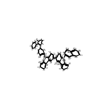 c1cc(-c2cccc3sc4ccccc4c23)cc(-n2c3ccccc3c3cc(-c4ccc5c(c4)c4ccccc4n5-c4ccc5ccccc5c4)ccc32)c1